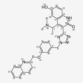 CC(c1c(-c2nnn(Cc3cccc(OCc4ccc5ccccc5n4)c3)n2)c(=O)[nH]c2ccc(O)cc12)N(C)C